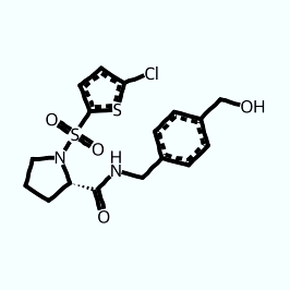 O=C(NCc1ccc(CO)cc1)[C@@H]1CCCN1S(=O)(=O)c1ccc(Cl)s1